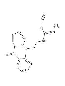 C/N=C(\NC#N)NCCSc1ncccc1C(=O)c1ccccc1